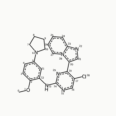 COc1ccc(N2CCCC2)cc1Nc1ncc(Cl)c(-c2cnc3ccccn23)n1